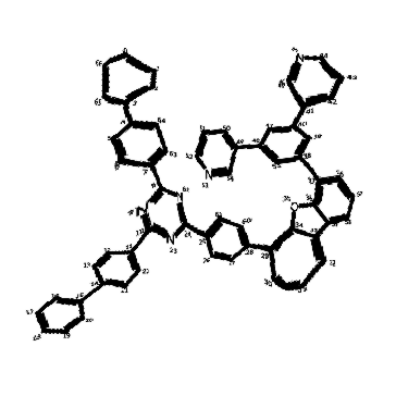 c1ccc(-c2ccc(-c3nc(-c4ccc(-c5ccccc5)cc4)nc(-c4ccc(-c5cccc6c5oc5c(-c7cc(-c8cccnc8)cc(-c8cccnc8)c7)cccc56)cc4)n3)cc2)cc1